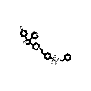 O=S(=O)(NOCc1ccccc1)c1ccc(C=CN2CC=C(c3c[nH]c(-c4ccc(F)cc4)c3-c3ccncc3)CC2)cc1